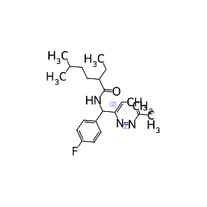 C=C(C)/N=N\C(=C/C)C(NC(=O)C(CC)CCC(C)C)c1ccc(F)cc1